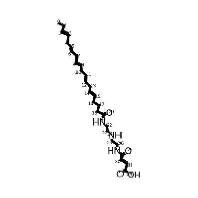 CCC=CCC=CCC=CCC=CCC=CCCCC(=O)NCCNCCNC(=O)C=CC(=O)O